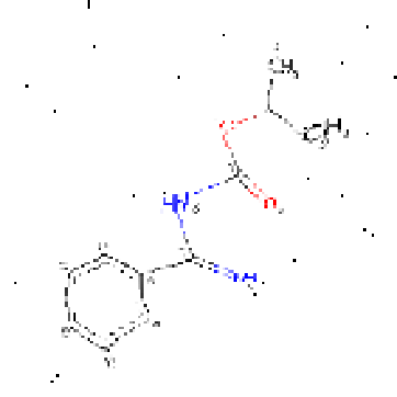 CC(C)OC(=O)NC(=N)c1cc[c]cc1